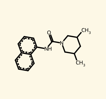 CC1CC(C)CN(C(=O)Nc2cccc3ccccc23)C1